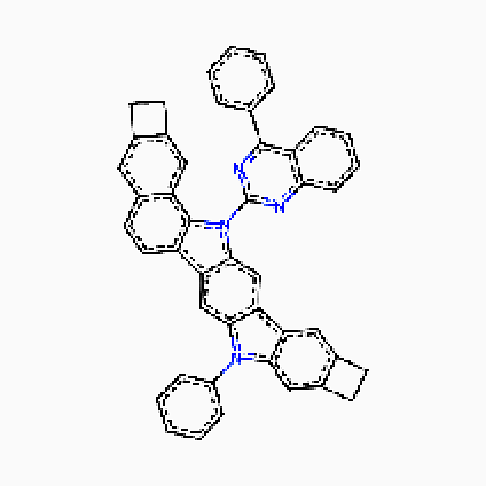 c1ccc(-c2nc(-n3c4cc5c6cc7c(cc6n(-c6ccccc6)c5cc4c4ccc5cc6c(cc5c43)CC6)CC7)nc3ccccc23)cc1